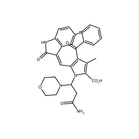 Cc1c(C(=O)c2ccccc2)c(C=C2C(=O)Nc3ccc(Br)cc32)n(C(CC(N)=O)N2CCOCC2)c1C(=O)O